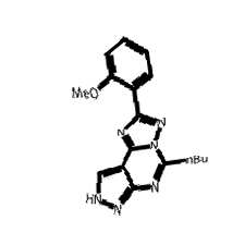 CCCCc1nc2n[nH]cc2c2nc(-c3ccccc3OC)nn12